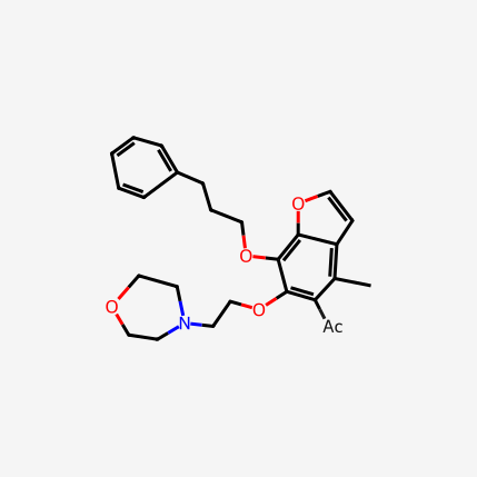 CC(=O)c1c(OCCN2CCOCC2)c(OCCCc2ccccc2)c2occc2c1C